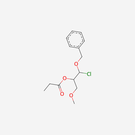 CCC(=O)OC(COC)C(Cl)OCc1ccccc1